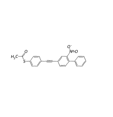 CC(=O)Sc1ccc(C#Cc2ccc(-c3ccccc3)c([N+](=O)[O-])c2)cc1